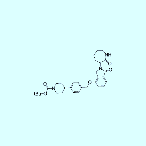 CC(C)(C)OC(=O)N1CCC(c2ccc(COc3cccc4c3CN(C3CCCCNC3=O)C4=O)cc2)CC1